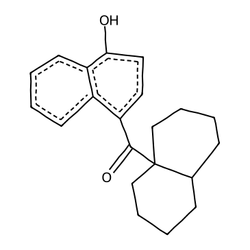 O=C(c1ccc(O)c2ccccc12)C12CCCCC1CCCC2